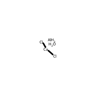 O.[AlH3].[Cl][Ca][Cl]